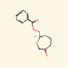 C[C@]1(COC(=O)c2ccccc2)CCCC(=O)CO1